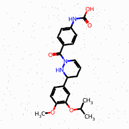 COc1ccc(C2CC=CN(C(=O)c3ccc(NC(=O)O)cc3)N2)cc1OC(C)C